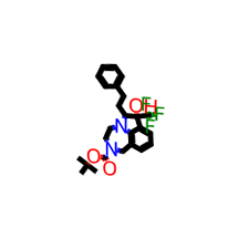 CC(C)(C)OC(=O)N1CCN2c3c(cccc3C(O)(C(F)(F)F)C2CCc2ccccc2)C1